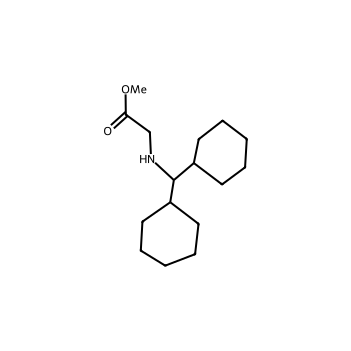 COC(=O)CNC(C1CCCCC1)C1CCCCC1